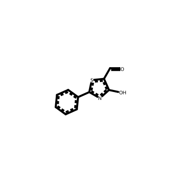 O=Cc1sc(-c2ccccc2)nc1O